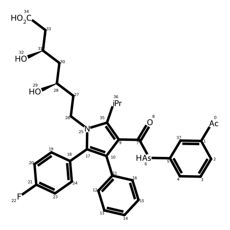 CC(=O)c1cccc([AsH]C(=O)c2c(-c3ccccc3)c(-c3ccc(F)cc3)n(CC[C@@H](O)C[C@@H](O)CC(=O)O)c2C(C)C)c1